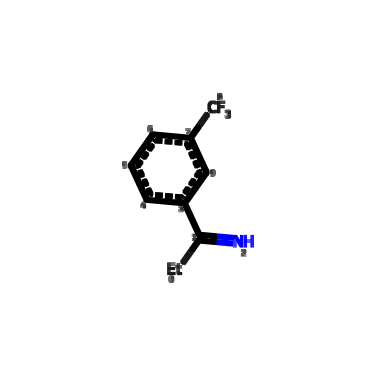 CCC(=N)c1cccc(C(F)(F)F)c1